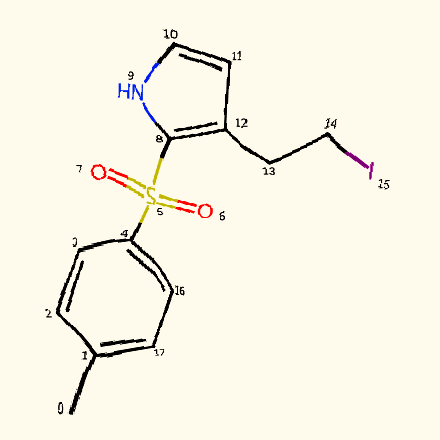 Cc1ccc(S(=O)(=O)c2[nH]ccc2CCI)cc1